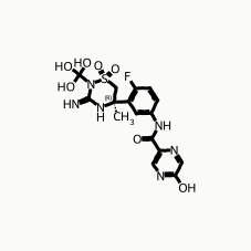 C[C@@]1(c2cc(NC(=O)c3cnc(O)cn3)ccc2F)CS(=O)(=O)N(C(O)(O)O)C(=N)N1